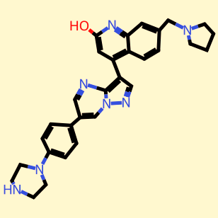 Oc1cc(-c2cnn3cc(-c4ccc(N5CCNCC5)cc4)cnc23)c2ccc(CN3CCCC3)cc2n1